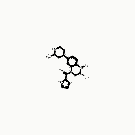 CC(=O)N1c2ccc(C3CCNC(C(F)(F)F)C3)cc2N(C(=O)c2ccco2)C[C@@H]1C